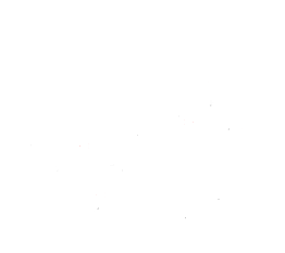 CCOC(=O)Oc1c[c]ccc1OC(=O)OCC